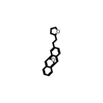 C1=c2ccccc2=C2C=c3ccc(CCC4CCCO4)cc3=C1O2